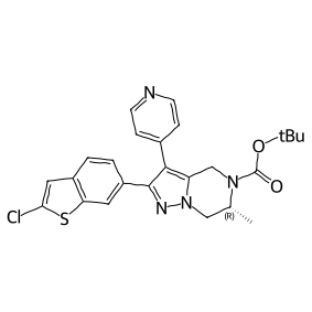 C[C@@H]1Cn2nc(-c3ccc4cc(Cl)sc4c3)c(-c3ccncc3)c2CN1C(=O)OC(C)(C)C